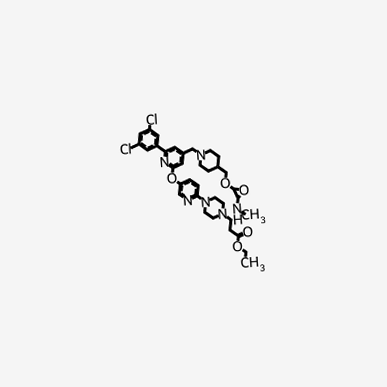 CCOC(=O)CCN1CCN(c2ccc(Oc3cc(CN4CCC(COC5OC5NC)CC4)cc(-c4cc(Cl)cc(Cl)c4)n3)cn2)CC1